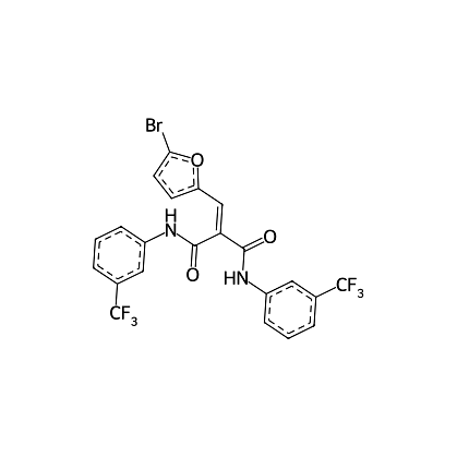 O=C(Nc1cccc(C(F)(F)F)c1)C(=Cc1ccc(Br)o1)C(=O)Nc1cccc(C(F)(F)F)c1